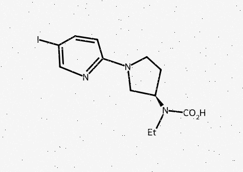 CCN(C(=O)O)[C@@H]1CCN(c2ccc(I)cn2)C1